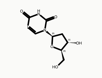 O=C1NC(=O)N([C@H]2C[C@H](O)[C@@H](CO)O2)C=I1